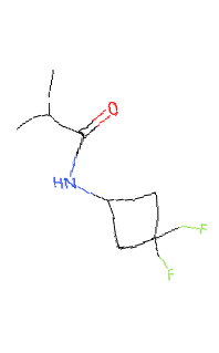 CC(C)C(=O)NC1CC(F)(F)C1